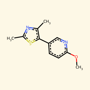 COc1ccc(-c2sc(C)nc2C)cn1